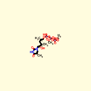 COP(=O)(O)OP(=O)(OC)OP(=O)(O)OC[C@@H](C)C[C@H](C)[C@@H](O)Cn1cc(C)c(=O)[nH]c1=O